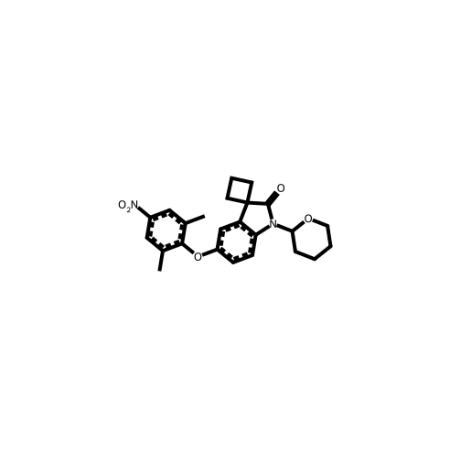 Cc1cc([N+](=O)[O-])cc(C)c1Oc1ccc2c(c1)C1(CCC1)C(=O)N2C1CCCCO1